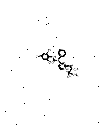 C[C@H](Nc1nccc(N(C(=O)Nc2c(Cl)cc(Cl)cc2Cl)c2ccccc2)n1)C(C)(C)O